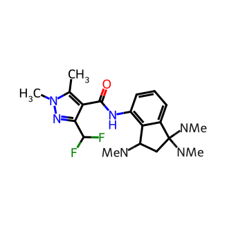 CNC1CC(NC)(NC)c2cccc(NC(=O)c3c(C(F)F)nn(C)c3C)c21